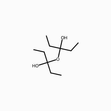 CCC(O)(CC)OC(O)(CC)CC